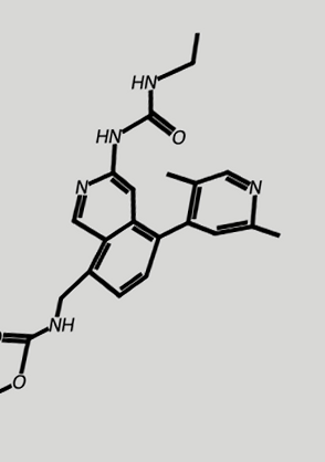 CCNC(=O)Nc1cc2c(-c3cc(C)ncc3C)ccc(CNC(=O)OC)c2cn1